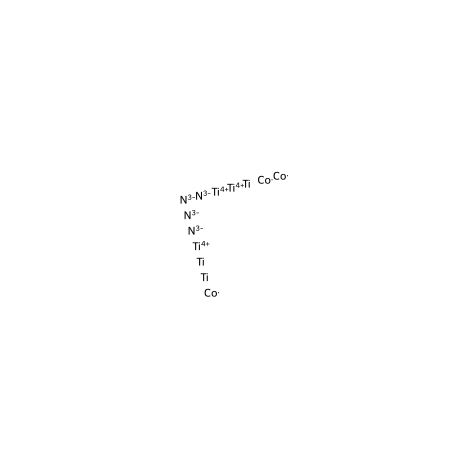 [Co].[Co].[Co].[N-3].[N-3].[N-3].[N-3].[Ti+4].[Ti+4].[Ti+4].[Ti].[Ti].[Ti]